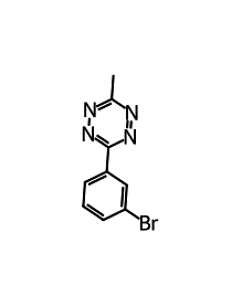 Cc1nnc(-c2cccc(Br)c2)nn1